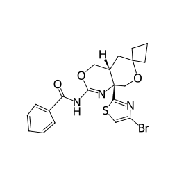 O=C(NC1=N[C@@]2(c3nc(Br)cs3)COC3(CCC3)C[C@H]2CO1)c1ccccc1